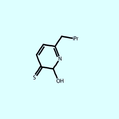 CC(C)CC1=NC(O)C(=S)C=C1